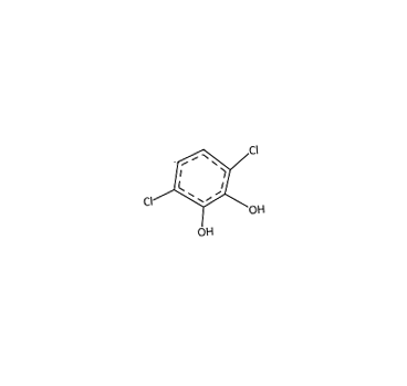 Oc1c(Cl)[c]cc(Cl)c1O